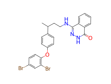 CC(CCNc1n[nH]c(=O)c2ccccc12)c1ccc(Oc2ccc(Br)cc2Br)cc1